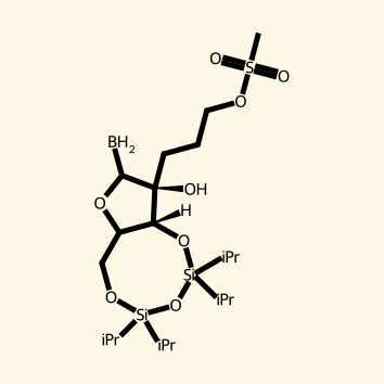 BC1OC2CO[Si](C(C)C)(C(C)C)O[Si](C(C)C)(C(C)C)O[C@H]2[C@@]1(O)CCCOS(C)(=O)=O